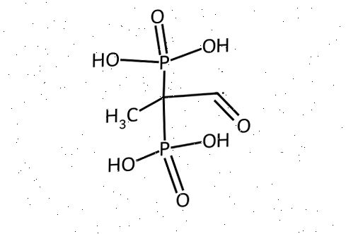 CC([C]=O)(P(=O)(O)O)P(=O)(O)O